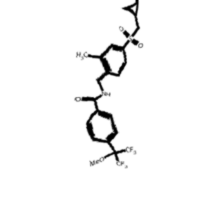 COC(c1ccc(C(=O)NCc2ccc(S(=O)(=O)CC3CC3)cc2C)cc1)(C(F)(F)F)C(F)(F)F